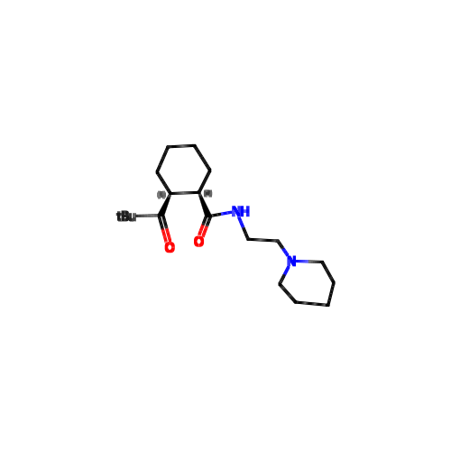 CC(C)(C)C(=O)[C@H]1CCCC[C@H]1C(=O)NCCN1CCCCC1